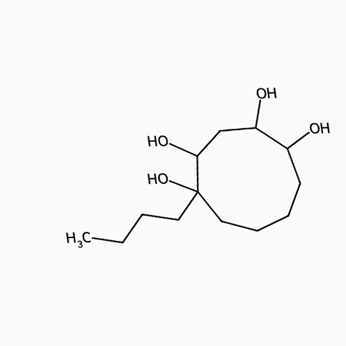 CCCCC1(O)CCCCC(O)C(O)CC1O